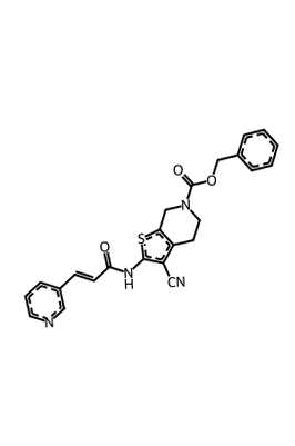 N#Cc1c(NC(=O)/C=C/c2cccnc2)sc2c1CCN(C(=O)OCc1ccccc1)C2